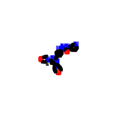 C[C@@H]1COCCN1c1cc(N2C3CCC2COC3)nc(-c2ccc(NC(=O)Nc3cccnc3)cc2)n1